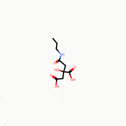 CCCNC(=O)CC(O)(CC(=O)O)C(=O)O